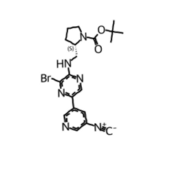 [C-]#[N+]c1cncc(-c2cnc(NC[C@@H]3CCCN3C(=O)OC(C)(C)C)c(Br)n2)c1